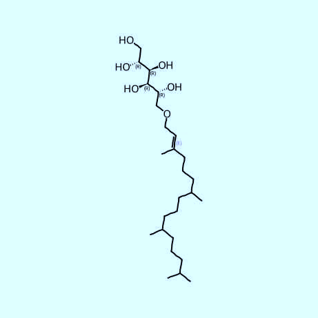 C/C(=C\COC[C@@H](O)[C@@H](O)[C@H](O)[C@H](O)CO)CCCC(C)CCCC(C)CCCC(C)C